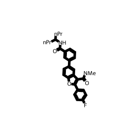 CCCC(CCC)NC(=O)c1cccc(-c2ccc3oc(-c4ccc(F)cc4)c(C(=O)NC)c3c2)c1